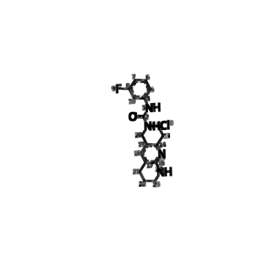 Cl.O=C(Nc1cccc(F)c1)N1CCc2nc3c(cc2C1)CCCN3